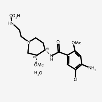 COc1cc(N)c(Cl)cc1C(=O)N[C@H]1CCN(CCNC(=O)O)C[C@H]1OC.O